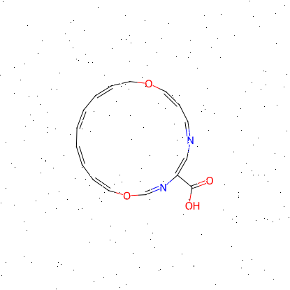 O=C(O)C1=C/N=C\C=C/OC\C=C/C=C\C=C/C=C\O/C=N\1